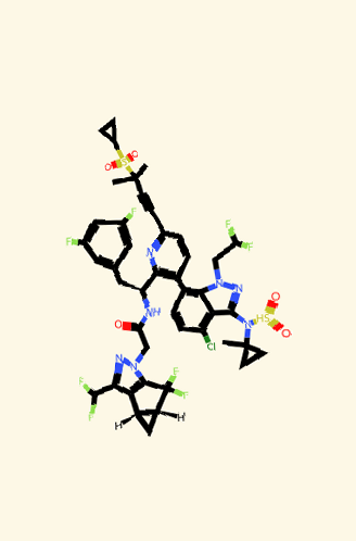 CC1(N(c2nn(CC(F)F)c3c(-c4ccc(C#CC(C)(C)S(=O)(=O)C5CC5)nc4[C@H](Cc4cc(F)cc(F)c4)NC(=O)Cn4nc(C(F)F)c5c4C(F)(F)[C@@H]4C[C@H]54)ccc(Cl)c23)[SH](=O)=O)CC1